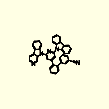 N#Cc1cccc(-c2ccccc2-c2cc(-n3c4ccccc4c4ccccc43)nc(-n3c4ccccc4c4ccncc43)c2)c1